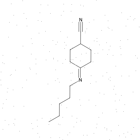 CCCCCN=C1CCC(C#N)CC1